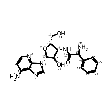 Nc1ccnc2c1ncn2[C@@H]1O[C@H](CO)[C@H](NC(=O)C(N)c2ccccc2)C1O